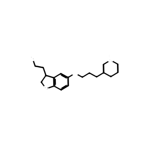 NCCC1CNc2ccc(OCCCC3CCCNC3)cc21